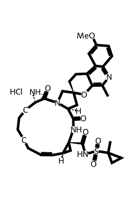 COc1ccc2nc(C)c3c(c2c1)CC[C@]1(C[C@H]2C(=O)N[C@]4(C(=O)NS(=O)(=O)C5(C)CC5)C[C@H]4/C=C\CCCCC[C@H](N)C(=O)N2C1)O3.Cl